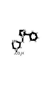 O=C(O)N1CCN[C@H](Cn2ccnc2-c2ccccc2)C1